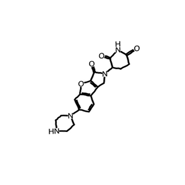 O=C1CCC(N2Cc3c(oc4cc(N5CCNCC5)ccc34)C2=O)C(=O)N1